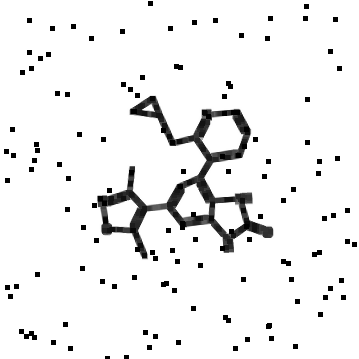 Cc1noc(C)c1-c1cc(-c2cccnc2CC2CC2)c2[nH]c(=O)[nH]c2c1